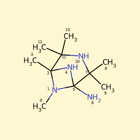 CN1C2(C)NC1(N)C(C)(C)NC2(C)C